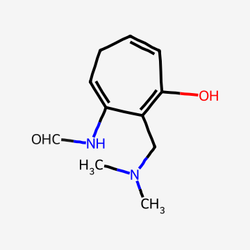 CN(C)CC1=C(O)C=CCC=C1NC=O